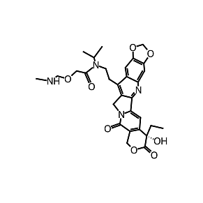 CC[C@@]1(O)C(=O)OCc2c1cc1n(c2=O)Cc2c-1nc1cc3c(cc1c2CCN(C(=O)COCNC)C(C)C)OCO3